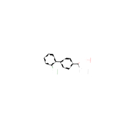 CC(O)c1ccc(-c2ccccc2Cl)cc1